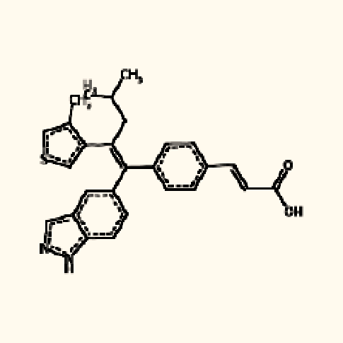 Cc1cscc1C(CC(C)C)=C(c1ccc(C=CC(=O)O)cc1)c1ccc2[nH]ncc2c1